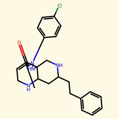 O=C1C2=CCNC3CC(CCc4ccccc4)NCC23NN1c1ccc(Cl)cc1